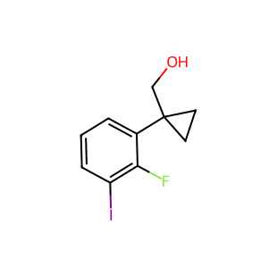 OCC1(c2cccc(I)c2F)CC1